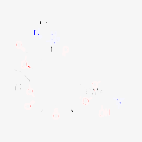 CC/N=C(\N)C1C(=O)O[C@@]23C1[C@@H](C)C(=O)[C@H](C)C[C@@](C)(OC)[C@H](OC1OC(C)CC(N(C)C)C1O)[C@@H](C)C(=O)[C@@H](C)C(=O)O[C@H]2C3C